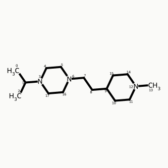 CC(C)N1CCN(CCC2CCN(C)CC2)CC1